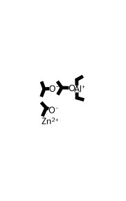 CC(C)[O-].CC(C)[O-].CC(C)[O-].C[CH2][Al+][CH2]C.[Zn+2]